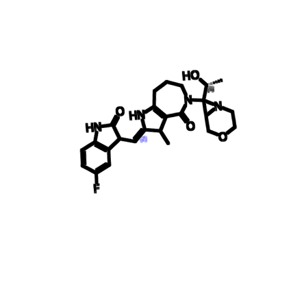 CC1C2=C(CCCN(C3([C@@H](C)O)C4COCCN43)C2=O)N/C1=C\C1C(=O)Nc2ccc(F)cc21